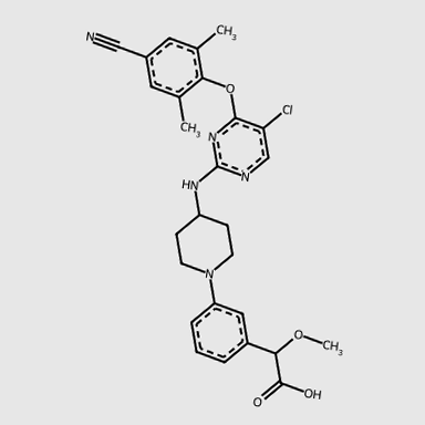 COC(C(=O)O)c1cccc(N2CCC(Nc3ncc(Cl)c(Oc4c(C)cc(C#N)cc4C)n3)CC2)c1